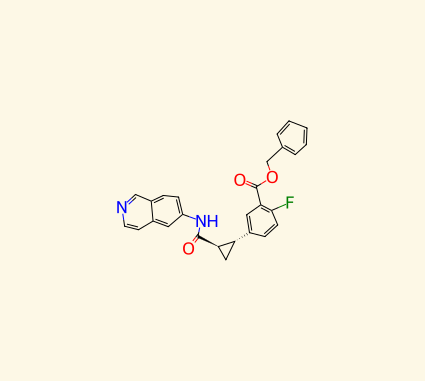 O=C(OCc1ccccc1)c1cc([C@@H]2C[C@H]2C(=O)Nc2ccc3cnccc3c2)ccc1F